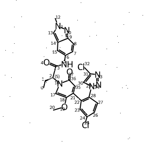 CC[C@@H](C(=O)Nc1ccc2nn(C)cc2c1)n1cc(OC)c(-c2cc(Cl)ccc2-n2cc(Cl)nn2)cc1=O